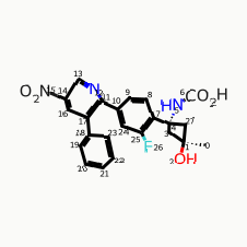 C[C@]1(O)C[C@@](NC(=O)O)(c2ccc(-c3ncc([N+](=O)[O-])cc3-c3ccccc3)cc2F)C1